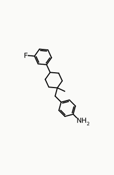 CC1(Cc2ccc(N)cc2)CCC(c2cccc(F)c2)CC1